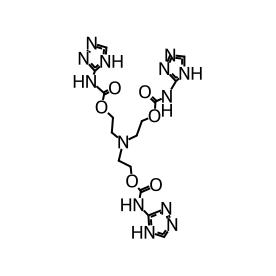 O=C(Nc1nnc[nH]1)OCCN(CCOC(=O)Nc1nnc[nH]1)CCOC(=O)Nc1nnc[nH]1